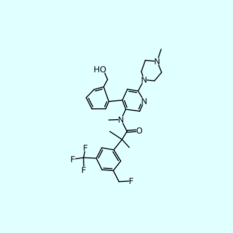 CN1CCN(c2cc(-c3ccccc3CO)c(N(C)C(=O)C(C)(C)c3cc(CF)cc(C(F)(F)F)c3)cn2)CC1